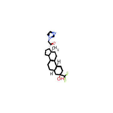 C[C@]12CCC3C(CC[C@@H]4C[C@@](O)(C(F)F)CC[C@H]34)C1CC[C@@H]2C(=O)Cn1ccnc1